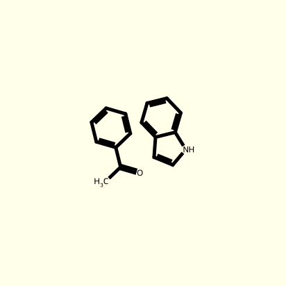 CC(=O)c1ccccc1.c1ccc2[nH]ccc2c1